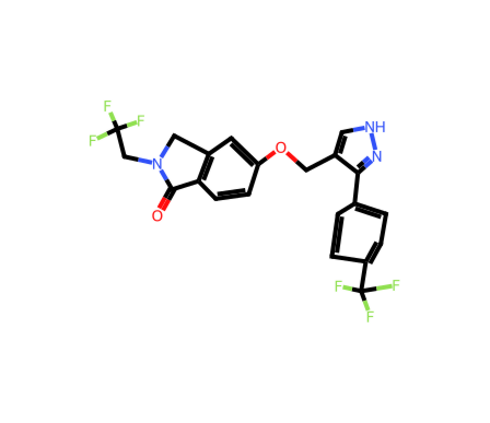 O=C1c2ccc(OCc3c[nH]nc3-c3ccc(C(F)(F)F)cc3)cc2CN1CC(F)(F)F